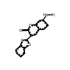 CCNc1ccc2cc(-c3nc4ccccc4s3)c(=O)oc2c1